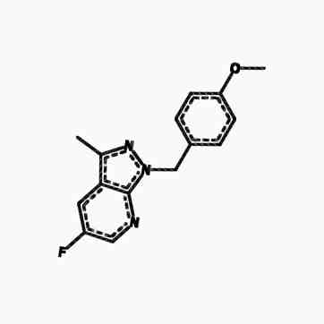 COc1ccc(Cn2nc(C)c3cc(F)cnc32)cc1